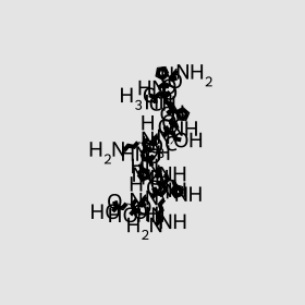 CC(C)[C@H](NC(=O)[C@@H]1CCCN1C(=O)CN)C(=O)NCC(=O)N1CCC[C@H]1C(=O)N[C@H](C(=O)NCC(=O)N[C@@H](CCCCN)C(=O)N[C@@H](Cc1c[nH]cn1)C(=O)NCC(=O)N[C@@H](Cc1c[nH]cn1)C(=O)N[C@@H](CCCNC(=N)N)C(=O)NCC(=O)N[C@@H](CCC(=O)O)C(=O)O)[C@@H](C)O